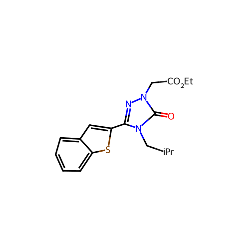 CCOC(=O)Cn1nc(-c2cc3ccccc3s2)n(CC(C)C)c1=O